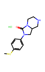 CSc1ccc(N2CC3CNCCN3C2=O)cc1.Cl